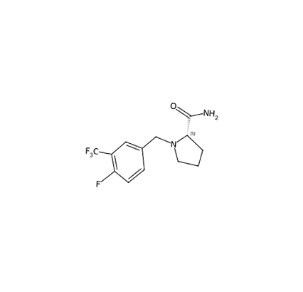 NC(=O)[C@@H]1CCCN1Cc1ccc(F)c(C(F)(F)F)c1